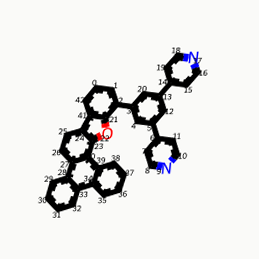 c1cc(-c2cc(-c3ccncc3)cc(-c3ccncc3)c2)c2oc3c(ccc4c5ccccc5c5ccccc5c43)c2c1